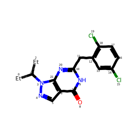 CCC(CC)n1ncc2c(=O)[nH]c(Cc3cc(Cl)ccc3Cl)nc21